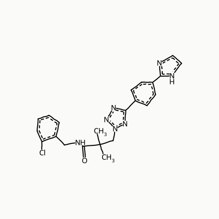 CC(C)(Cn1nnc(-c2ccc(-c3ncc[nH]3)cc2)n1)C(=O)NCc1ccccc1Cl